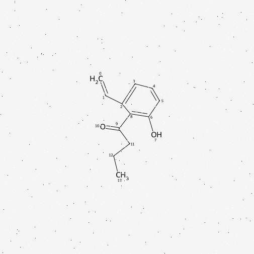 C=Cc1cccc(O)c1C(=O)CCC